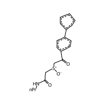 CCCNC(=O)C[S+]([O-])CC(=O)c1ccc(-c2ccccc2)cc1